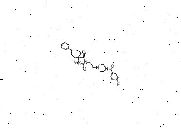 O=C(c1ccc(F)cc1)N1CCN(CCN2C(=O)NC3(CCC(c4ccccc4)CC3)C2=O)CC1